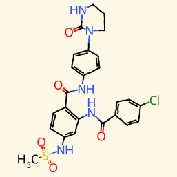 CS(=O)(=O)Nc1ccc(C(=O)Nc2ccc(N3CCCNC3=O)cc2)c(NC(=O)c2ccc(Cl)cc2)c1